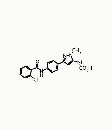 Cn1nc(-c2ccc(NC(=O)c3ccccc3Cl)cc2)cc1NC(=O)O